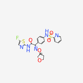 O=C(Nc1ncc(F)s1)/C(=N/O[C@@H]1CCOC1)c1ccc(NS(=O)(=O)c2ccccn2)cc1